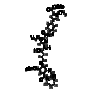 COC(=O)c1cc(-c2ccc(NC(=O)c3nc(NC(O)CCCOc4cc5c(cc4OC)C(=O)N4CCCC[C@H]4C=N5)cn3C)cc2)cn1C